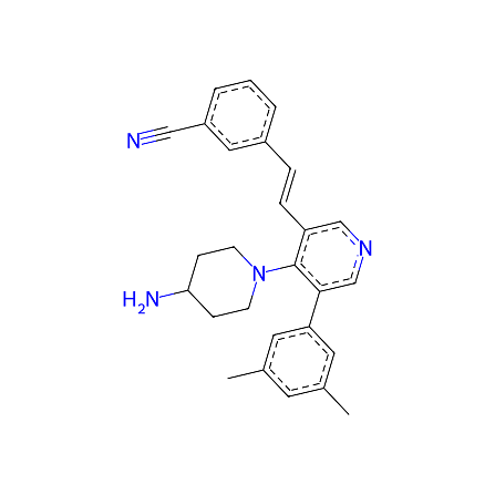 Cc1cc(C)cc(-c2cncc(C=Cc3cccc(C#N)c3)c2N2CCC(N)CC2)c1